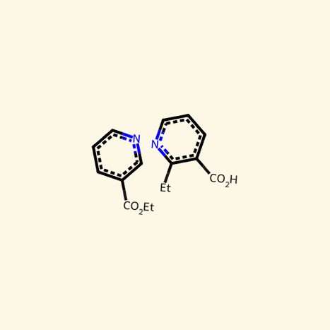 CCOC(=O)c1cccnc1.CCc1ncccc1C(=O)O